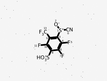 N#C[S+]([O-])c1c(F)c(F)c(S(=O)(=O)O)c(F)c1C(F)(F)F